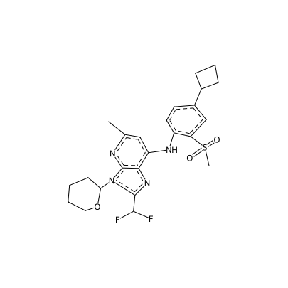 Cc1cc(Nc2ccc(C3CCC3)cc2S(C)(=O)=O)c2nc(C(F)F)n(C3CCCCO3)c2n1